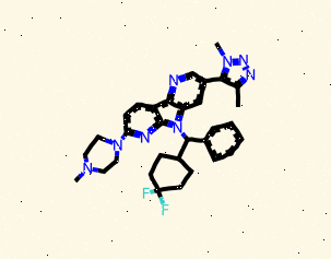 Cc1nnn(C)c1-c1cnc2c3ccc(N4CCN(C)CC4)nc3n(C(c3ccccc3)C3CCC(F)(F)CC3)c2c1